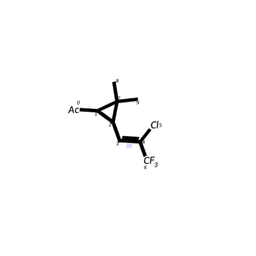 CC(=O)C1C(/C=C(\Cl)C(F)(F)F)C1(C)C